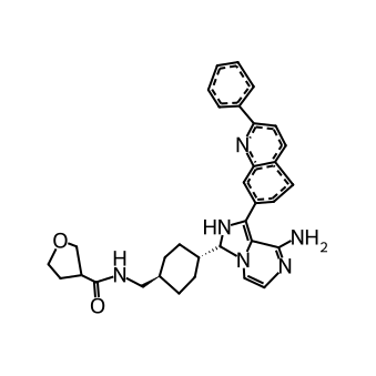 NC1=NC=CN2C1=C(c1ccc3ccc(-c4ccccc4)nc3c1)NC2[C@H]1CC[C@H](CNC(=O)C2CCOC2)CC1